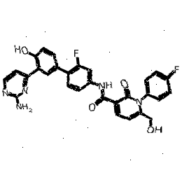 Nc1nccc(-c2cc(-c3ccc(NC(=O)c4ccc(CO)n(-c5ccc(F)cc5)c4=O)cc3F)ccc2O)n1